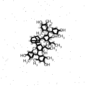 CCC(C)c1cc(C23CC4CC(C2)CC(c2cc(C(C)CC)c(O)c(C(c5cc(C)c(O)cc5C)c5cc(C)c(O)cc5C)c2)(C4)C3)cc(C(c2cc(C)c(O)cc2C)c2cc(C)c(O)cc2C)c1O